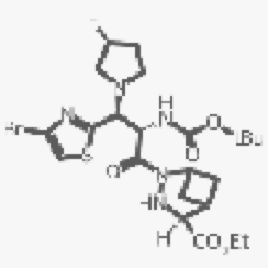 CCOC(=O)[C@H]1NN(C(=O)[C@@H](NC(=O)OC(C)(C)C)[C@@H](c2nc(Br)cs2)N2CC[C@H](F)C2)C2CC1C2